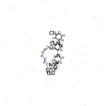 CC(C)(C)OC(=O)N1C/C=C/CCCCOc2c(cnn(-c3cccc(Cl)c3)c2=O)N2CCN(CC2)[S+]1[O-]